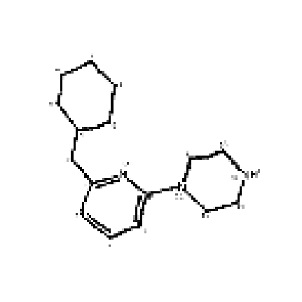 c1cc(CC2CCCCC2)nc(N2CCNCC2)c1